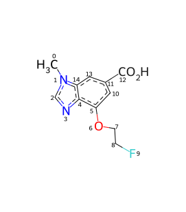 Cn1cnc2c(OCCF)cc(C(=O)O)cc21